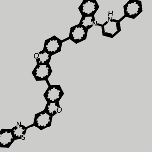 C1=CC(n2c3ccccc3c3cc(-c4ccc5oc6ccc(-c7ccc8oc9ccc(-c%10nc%11ccccc%11s%10)cc9c8c7)cc6c5c4)ccc32)NC(c2ccccc2)=C1